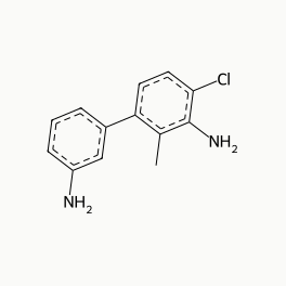 Cc1c(-c2cccc(N)c2)ccc(Cl)c1N